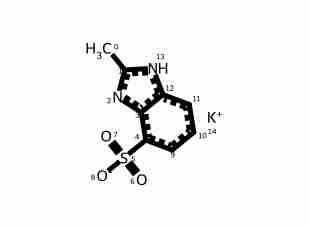 Cc1nc2c(S(=O)(=O)[O-])cccc2[nH]1.[K+]